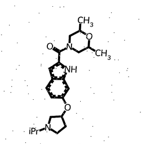 CC1CN(C(=O)c2cc3ccc(OC4CCN(C(C)C)C4)cc3[nH]2)CC(C)O1